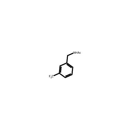 CC(=O)NCc1cccc(C(F)(F)F)c1